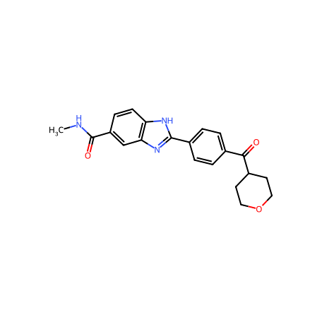 CNC(=O)c1ccc2[nH]c(-c3ccc(C(=O)C4CCOCC4)cc3)nc2c1